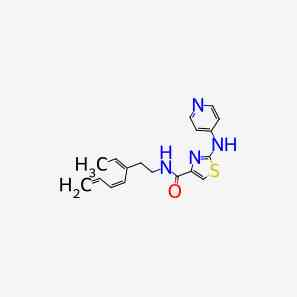 C=C/C=C\C(=C/C)CCNC(=O)c1csc(Nc2ccncc2)n1